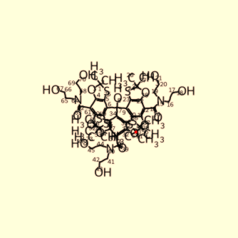 CC1(C)Oc2c(c(C(O)(c3c4c(c(C(=O)N(CCO)CCO)c5c3SC(C)(C)O5)OC(C)(C)S4)c3c4c(c(C(=O)N(CCO)CCO)c5c3SC(C)(C)O5)OC(C)(C)S4)c3c(c2C(=O)N(CCO)CCO)OC(C)(C)S3)S1